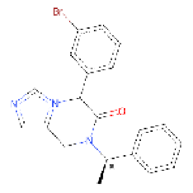 C[C@H](c1ccccc1)N1Cc2cncn2C(c2cccc(Br)c2)C1=O